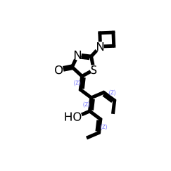 C\C=C/C(O)=C(\C=C/C)/C=C1\SC(N2CCC2)=NC1=O